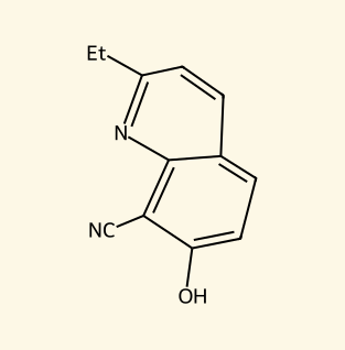 CCc1ccc2ccc(O)c(C#N)c2n1